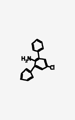 Nc1c(-c2ccccc2)cc(Cl)cc1-c1ccccc1